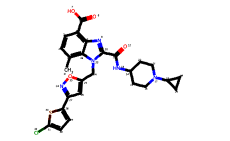 Cc1ccc(C(=O)O)c2nc(C(=O)NC3CCN(C4CC4)CC3)n(Cc3cc(-c4ccc(Cl)s4)no3)c12